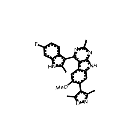 COc1cc2c(cc1-c1c(C)noc1C)[nH]c1nc(C)nc(-c3c(C)[nH]c4cc(F)ccc34)c12